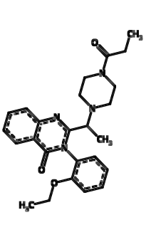 CCOc1ccccc1-n1c(C(C)N2CCN(C(=O)CC)CC2)nc2ccccc2c1=O